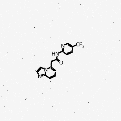 O=C(Cc1cccc2nccn12)Nc1ccc(C(F)(F)F)cn1